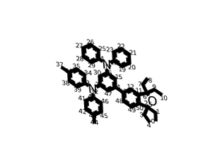 CCC1(CC)OC(CC)(CC)c2cc(-c3cc(N(c4ccccc4)c4ccccc4)cc(N(c4ccc(C)cc4)c4ccc(C)cc4)c3)ccc21